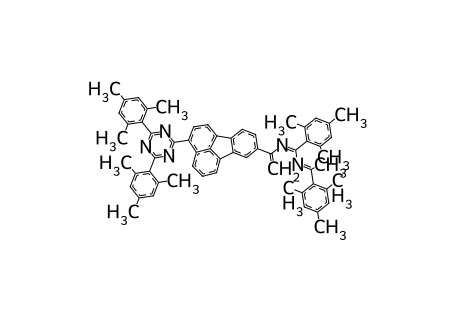 C=C(/N=C(\N=C(/C)c1c(C)cc(C)cc1C)c1c(C)cc(C)cc1C)c1ccc2c(c1)-c1cccc3c(-c4nc(-c5c(C)cc(C)cc5C)nc(-c5c(C)cc(C)cc5C)n4)ccc-2c13